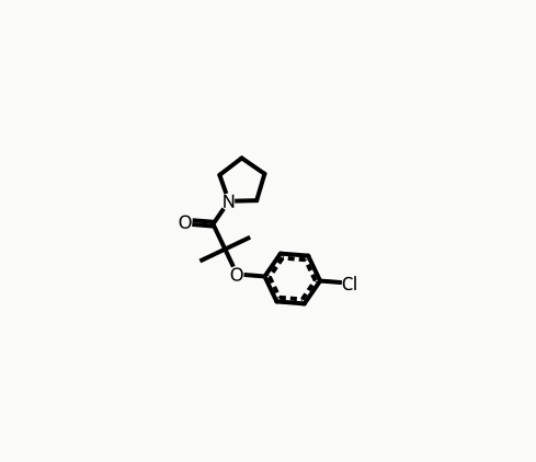 CC(C)(Oc1ccc(Cl)cc1)C(=O)N1CCCC1